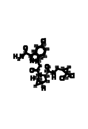 NC(=O)c1nn(CC(=O)N2[C@@H]3C[C@@H]3C[C@H]2C(=O)NCC2CC2(Cl)Cl)c2ccc(Cl)cc12